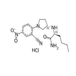 CCCC[C@H](N[C@H]1CCN(c2ccc([N+](=O)[O-])cc2C#N)C1)C(N)=O.Cl